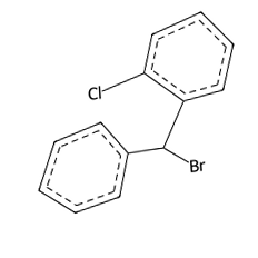 Clc1ccccc1C(Br)c1ccccc1